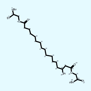 CCCCC(CC)COC(=O)CCCCCCCCCCCCCC(CC(=O)OCC(CC)CCCC)C(C)C